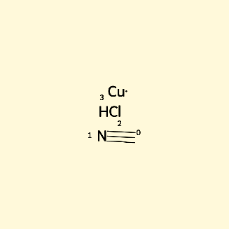 C#N.Cl.[Cu]